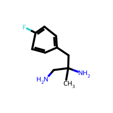 CC(N)(CN)Cc1ccc(F)cc1